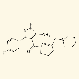 Nc1[nH]nc(-c2ccc(F)cc2)c1C(=O)c1cccc(CN2CCCCC2)c1